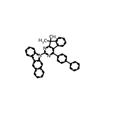 CC1(C)c2ccccc2-c2c(-c3ccc(-c4ccccc4)cc3)nc(-n3c4ccccc4c4cc5ccccc5cc43)nc21